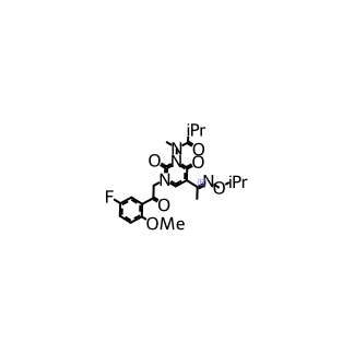 COc1ccc(F)cc1C(=O)Cn1cc(/C(C)=N/OC(C)C)c(=O)n(N(C)C(=O)C(C)C)c1=O